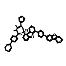 CC[C@]1(c2cccc3oc4c(-c5ccc(-c6ccc7c(c6)sc6ccccc67)cc5)cccc4c23)CC(c2ccccc2)=C(C)C(C)C(c2ccc(C3=CCCC=C3)cc2)=N1